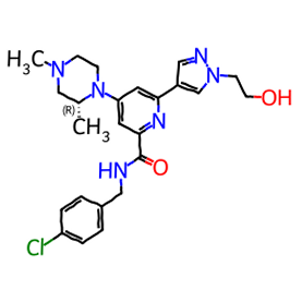 C[C@@H]1CN(C)CCN1c1cc(C(=O)NCc2ccc(Cl)cc2)nc(-c2cnn(CCO)c2)c1